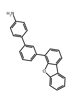 Nc1ccc(-c2cccc(-c3cccc4c3oc3ccccc34)c2)cc1